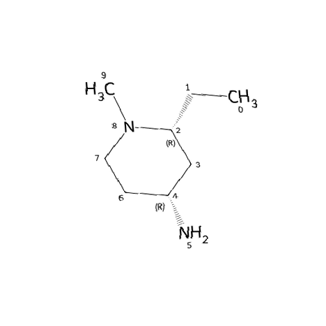 CC[C@@H]1C[C@H](N)CCN1C